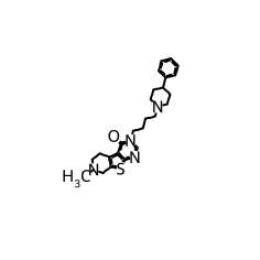 CN1CCc2c(sc3ncn(CCCCN4CCC(c5ccccc5)CC4)c(=O)c23)C1